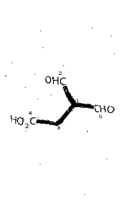 O=CC(C=O)CC(=O)O